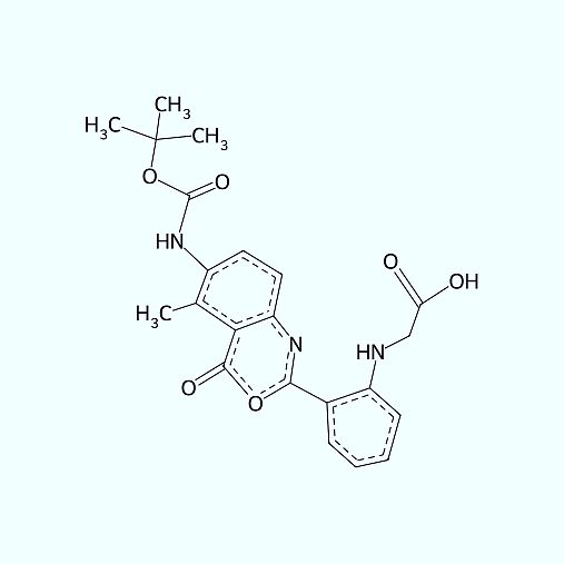 Cc1c(NC(=O)OC(C)(C)C)ccc2nc(-c3ccccc3NCC(=O)O)oc(=O)c12